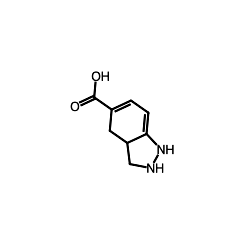 O=C(O)C1=CC=C2NNCC2C1